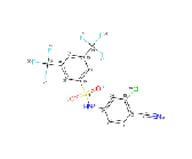 N#Cc1ccc(NS(=O)(=O)c2cc(C(F)(F)F)cc(C(F)(F)F)c2)cc1Cl